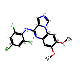 COc1cc2nc(Nc3c(Cl)cc(Br)cc3Cl)c3cncn3c2cc1OC